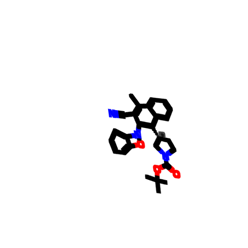 Cc1c(C#N)c(-n2oc3ccccc32)c([C@@H]2CCN(C(=O)OC(C)(C)C)C2)c2ccccc12